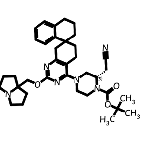 CC(C)(C)OC(=O)N1CCN(c2nc(OCC34CCCN3CCC4)nc3c2CCC2(CCCc4ccccc42)C3)C[C@@H]1CC#N